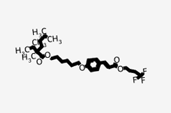 CC(C)CCC(C)(C(=O)OCCCCCCOc1ccc(/C=C/C(=O)OCCCC(F)(F)F)cc1)C(C)C